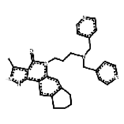 Cc1[nH]nc2c1c(=O)n(CCCN(Cc1ccncc1)Cc1ccncc1)c1cc3c(cc21)CCCC3